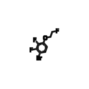 FCCOc1ccc(Br)c(F)c1F